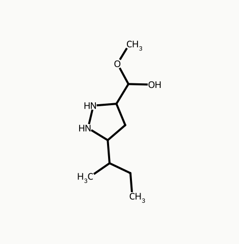 CCC(C)C1CC(C(O)OC)NN1